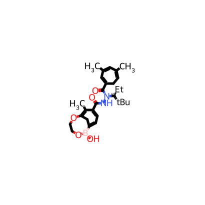 CC[C@H](N(NC(=O)C1=CC=C2CC(=C1C)OCCOB2O)C(=O)C1=CC(C)=CC(C)=CC1)C(C)(C)C